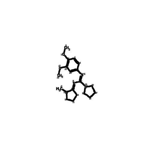 COc1ccc(N=C(N=C2CCCN2C)N2CCCC2)cc1OC